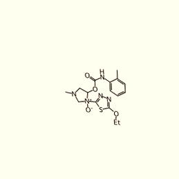 CCOc1nnc([N+]2([O-])CN(C)CC2OC(=O)Nc2ccccc2C)s1